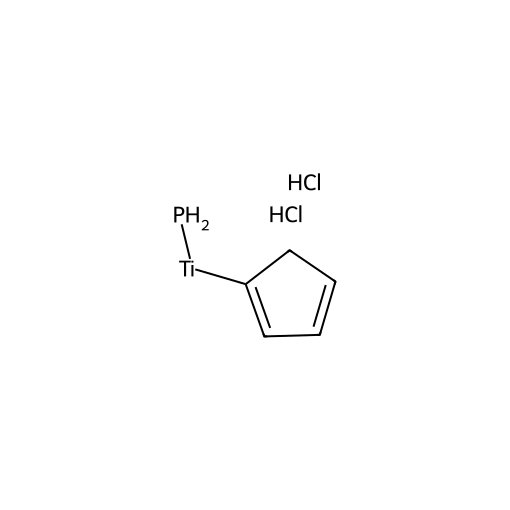 Cl.Cl.[PH2][Ti][C]1=CC=CC1